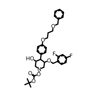 CC(C)(C)OC(=O)ON1CC(O)C(c2ccc(OCCCOCc3ccccc3)cc2)C(OCc2ccc(F)cc2F)C1